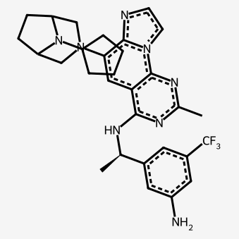 Cc1nc(N[C@H](C)c2cc(N)cc(C(F)(F)F)c2)c2cc(N3CC4CCC(C3)N4C3CCCC3)c3nccn3c2n1